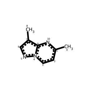 Cc1ccn2ncc(C)c2n1